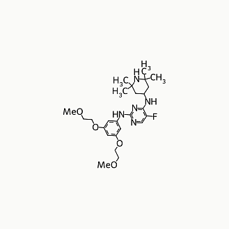 COCCOc1cc(Nc2ncc(F)c(NC3CC(C)(C)NC(C)(C)C3)n2)cc(OCCOC)c1